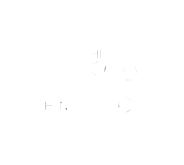 I.NCCCCCCC(Cc1ccccc1)(Cc1ccccc1)Cc1ccccc1